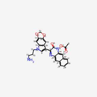 CC(=O)On1c(=O)c(-c2cn(CCCN)c3cc4c(cc23)OCO4)nc2cc3ccccc3cc21